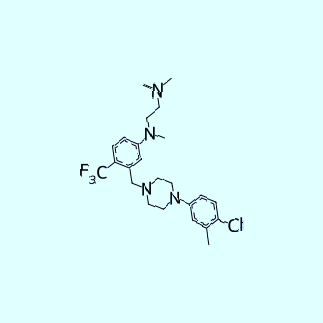 Cc1cc(N2CCN(Cc3cc(N(C)CCN(C)C)ccc3C(F)(F)F)CC2)ccc1Cl